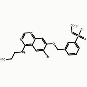 CCOC(=O)N=S(=O)(CC)c1cccc(COc2cc3ncnc(NCCOC)c3cc2Br)c1